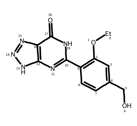 CCOc1cc(CO)ccc1-c1nc2[nH]nnc2c(=O)[nH]1